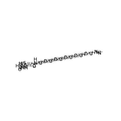 [N-]=[N+]=NCCOCCOCCOCCOCCOCCOCCOCCOCCOCCOCCOCCNC(=O)CCCC[C@@H]1SC[C@@H]2NC(=O)N[C@@H]21